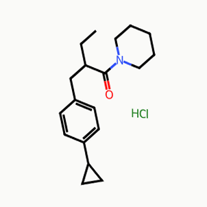 CCC(Cc1ccc(C2CC2)cc1)C(=O)N1CCCCC1.Cl